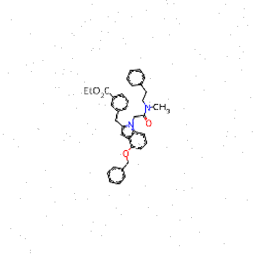 CCOC(=O)c1cccc(Cc2cc3c(OCc4ccccc4)cccc3n2CC(=O)N(C)CCc2ccccc2)c1